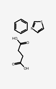 O=C(O)CCC(=O)O.c1ccccc1.c1cscn1